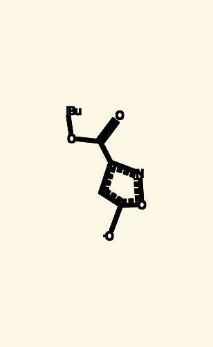 CCC(C)OC(=O)c1cc([O])on1